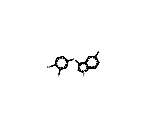 Oc1ccc(Oc2c[nH]c3ccc(I)cc23)cc1I